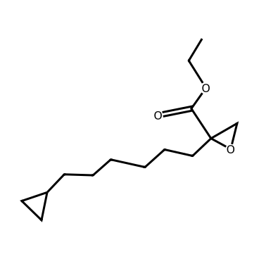 CCOC(=O)C1(CCCCCCC2CC2)CO1